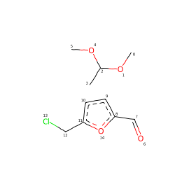 COC(C)OC.O=Cc1ccc(CCl)o1